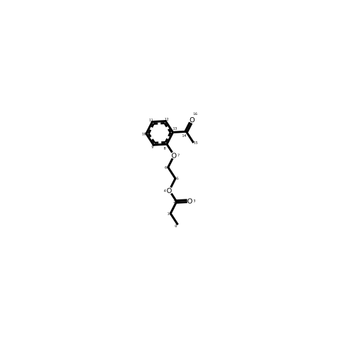 CCC(=O)OCCOc1ccccc1C(C)=O